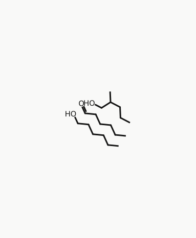 CCCC(C)CO.CCCCCC=O.CCCCCCO